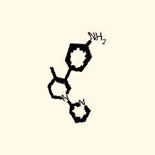 CC1=C(c2ccc(N)cc2)CN(c2ccccn2)CC1